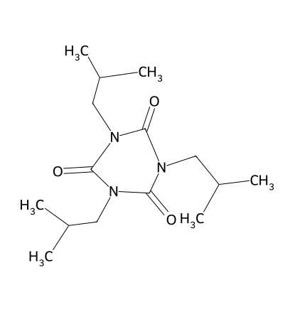 CC(C)Cn1c(=O)n(CC(C)C)c(=O)n(CC(C)C)c1=O